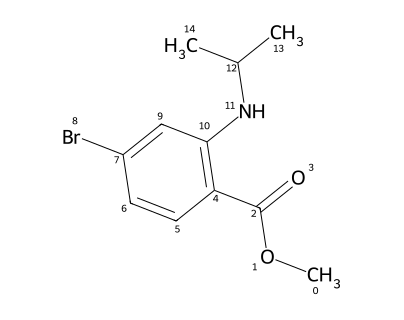 COC(=O)c1ccc(Br)cc1NC(C)C